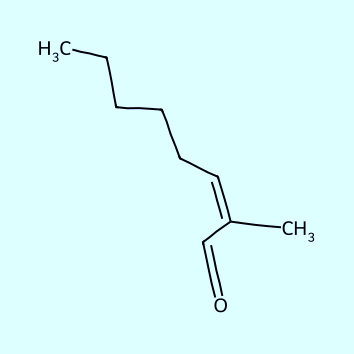 CCCCCC=C(C)C=O